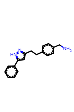 NCc1ccc(CCc2cc(-c3ccccc3)[nH]n2)cc1